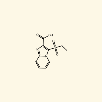 CCS(=O)(=O)c1c(C(=O)O)nc2ncccn12